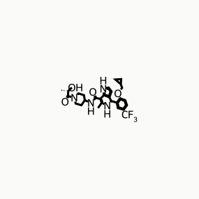 CC1=C(C(=O)NC2CCN(C(=O)[C@H](C)O)CC2)c2[nH]ccc2C(c2cc(C(F)(F)F)ccc2OCC2CC2)N1